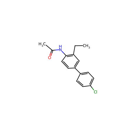 CCc1cc(-c2ccc(Cl)cc2)ccc1NC(C)=O